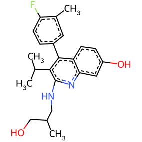 Cc1cc(-c2c(C(C)C)c(NCC(C)CO)nc3cc(O)ccc23)ccc1F